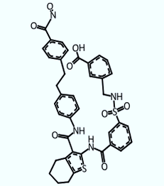 O=NC(=O)c1ccc(CCc2ccc(NC(=O)c3c(NC(=O)c4cccc(S(=O)(=O)NCc5cccc(C(=O)O)c5)c4)sc4c3CCCC4)cc2)cc1